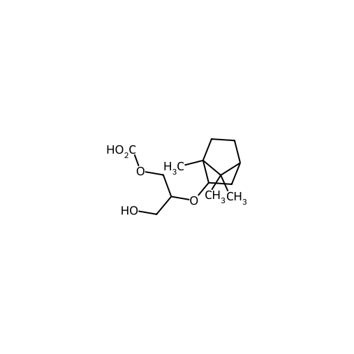 CC1(C)C2CCC1(C)C(OC(CO)COC(=O)O)C2